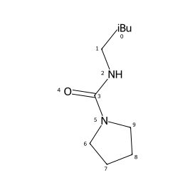 CCC(C)CNC(=O)N1CCCC1